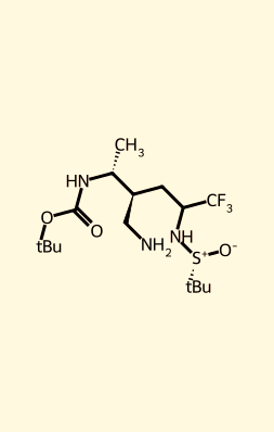 C[C@@H](NC(=O)OC(C)(C)C)[C@H](CN)CC(N[S@+]([O-])C(C)(C)C)C(F)(F)F